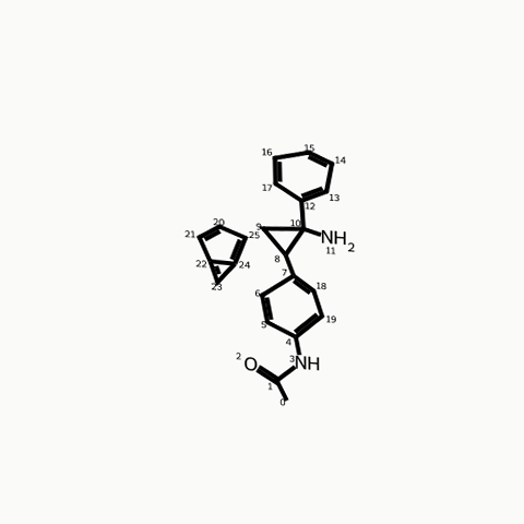 CC(=O)Nc1ccc(C2CC2(N)c2ccccc2)cc1.c1cc2cc-2c1